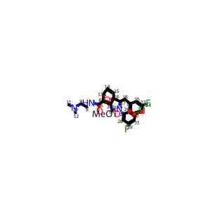 COC(=O)C1=C(C(=O)NCCN(C)C)C2C=CC1(C(Cc1cccc(F)c1)Nc1cc(F)cc(F)c1)O2